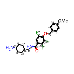 COc1ccc(COc2c(F)cc(C(=O)NC[C@H]3CC[C@H](N)CC3)c(F)c2F)cc1